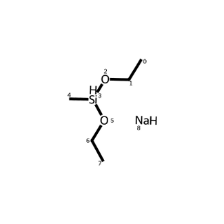 CCO[SiH](C)OCC.[NaH]